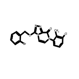 Cc1c(Cl)cccc1-n1ccn2c(SCc3ccccc3Br)nnc2c1=O